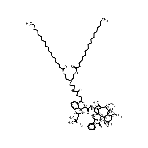 CCCCCCCCCCCCCCCCCC(=O)OCCN(CCNC(=O)CCC(=O)O[C@@H](C(=O)O[C@H]1C[C@@]2(O)[C@@H](OC(=O)c3ccccc3)[C@@H]3[C@]4(OC(C)=O)CO[C@@H]4C[C@H](OC)[C@@]3(C)C(=O)[C@H](OC)C(=C1C)C2(C)C)[C@@H](NC(=O)OC(C)(C)C)c1ccccc1)CCOC(=O)CCCCCCCCCCCCCCCCC